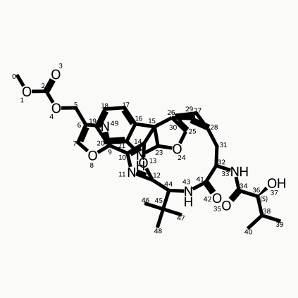 COC(=O)OCc1coc(-c2nc3oc2C24c5ccccc5NC2Oc2ccc(cc24)CC(NC(=O)[C@@H](O)C(C)C)C(=O)NC3C(C)(C)C)n1